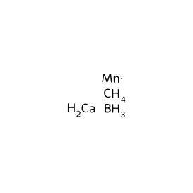 B.C.[CaH2].[Mn]